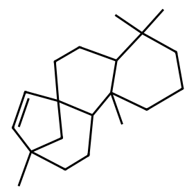 CC12C=CC3(CCC4C(C)(C)CCCC4(C)C3CC1)C2